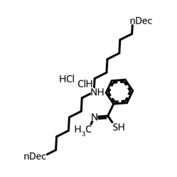 CCCCCCCCCCCCCCCCNCCCCCCCCCCCCCCCC.CN=C(S)c1ccccc1.Cl.Cl